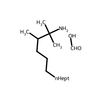 CCCCCCCCCCC(C)C(C)(C)N.O=CO